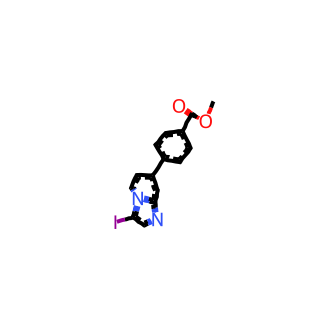 COC(=O)c1ccc(-c2ccn3c(I)cnc3c2)cc1